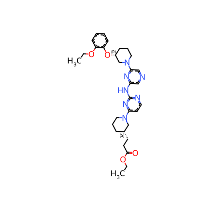 CCOC(=O)CC[C@@H]1CCCN(c2ccnc(Nc3cncc(N4CCC[C@@H](Oc5ccccc5OCC)C4)n3)n2)C1